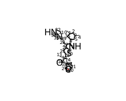 Cc1cc(C)cc(-c2[nH]c3sc(C(C)(C)C(=O)N4CC5CCC4CC5)cc3c2CCN2CCNCC2)c1